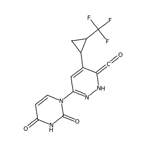 O=C=C1NN=C(n2ccc(=O)[nH]c2=O)C=C1C1CC1C(F)(F)F